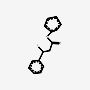 O=C(CC(F)c1ccccc1)Sc1ccccc1